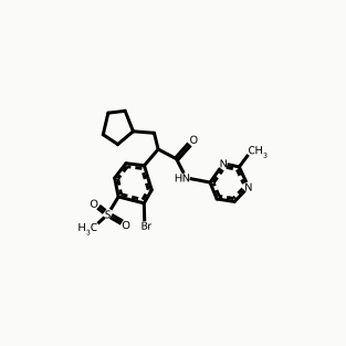 Cc1nccc(NC(=O)C(CC2CCCC2)c2ccc(S(C)(=O)=O)c(Br)c2)n1